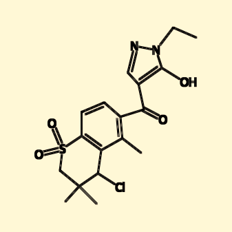 CCn1ncc(C(=O)c2ccc3c(c2C)C(Cl)C(C)(C)CS3(=O)=O)c1O